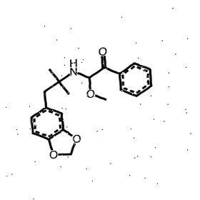 COC(NC(C)(C)Cc1ccc2c(c1)OCO2)C(=O)c1ccccc1